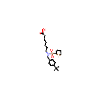 CC(C)(C)c1ccc(CN(CCCCCCC(=O)O)S(=O)(=O)c2cccs2)cc1